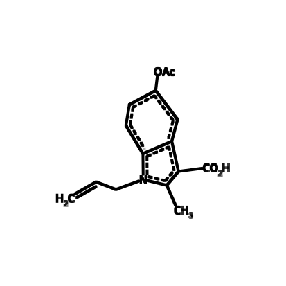 C=CCn1c(C)c(C(=O)O)c2cc(OC(C)=O)ccc21